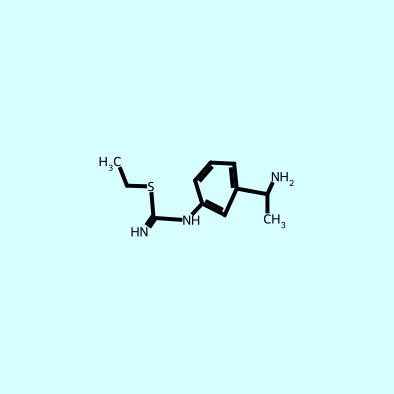 CCSC(=N)Nc1cccc(C(C)N)c1